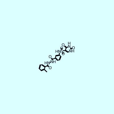 Cc1ccccc1C(=O)NNC(=O)c1cccc(NS(=O)(=O)c2c[nH]c(=O)[nH]c2=O)c1